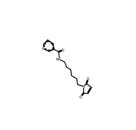 O=C(NCCCCCCN1C(=O)C=CC1=O)c1cccnc1